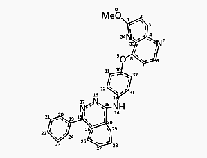 COc1ccc2nccc(Oc3ccc(Nc4nnc(-c5ccccc5)c5ccccc45)cc3)c2n1